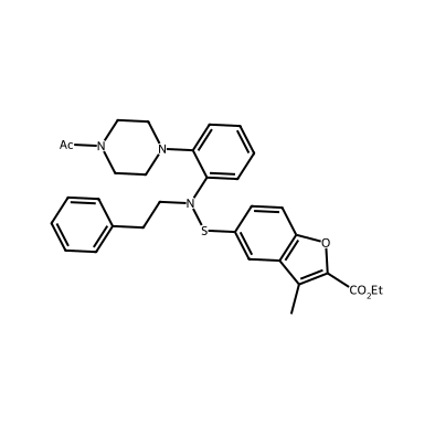 CCOC(=O)c1oc2ccc(SN(CCc3ccccc3)c3ccccc3N3CCN(C(C)=O)CC3)cc2c1C